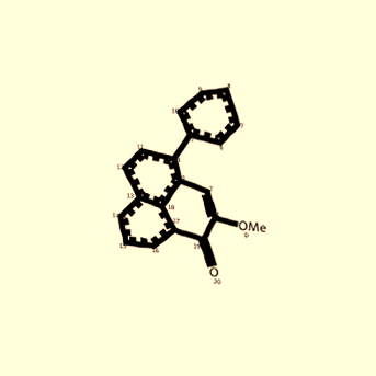 COC1=Cc2c(-c3ccccc3)ccc3cccc(c23)C1=O